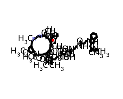 CNN(C)Cc1cc2ccccc2n1CCC(=O)NCCNC(=O)[C@H](O)[C@H](O)C(=O)NCCC(=O)N(C)[C@@H](C)C(=O)O[C@H]1CC(=O)N(C)c2cc(cc(OC)c2Cl)C/C(C)=C/C=C/[C@@H](OC)[C@@]2(O)C[C@H](OC(=O)N2)[C@@H](C)C2O[C@]21C